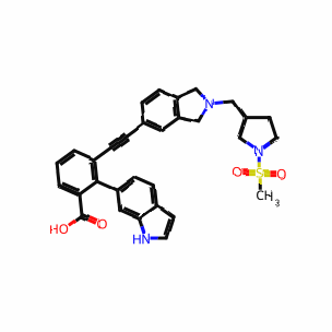 CS(=O)(=O)N1CCC(CN2Cc3ccc(C#Cc4cccc(C(=O)O)c4-c4ccc5cc[nH]c5c4)cc3C2)C1